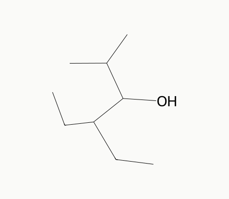 CCC(CC)C(O)C(C)C